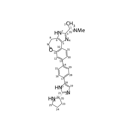 CN[C@@H](C)c1nc2c([nH]1)CCOc1cc(-c3ccc(-c4cnc([C@@H]5CCCN5)[nH]4)cc3)ccc1-2